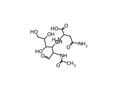 CC(=O)NC(C=O)C(O)C(O)C(O)CO.NC(=O)CC(N)C(=O)O